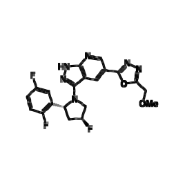 COCc1nnc(-c2cnc3[nH]nc(N4C[C@@H](F)C[C@@H]4c4cc(F)ccc4F)c3c2)o1